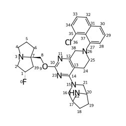 F[C@@H]1CN2CCC[C@]2(COc2nc3c(c(N4CC5CCC(C4)N5)n2)CCN(c2cccc4cccc(Cl)c24)C3)C1